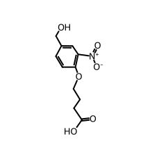 O=C(O)CCCOc1ccc(CO)cc1[N+](=O)[O-]